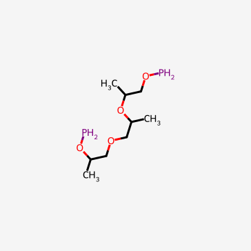 CC(COCC(C)OC(C)COP)OP